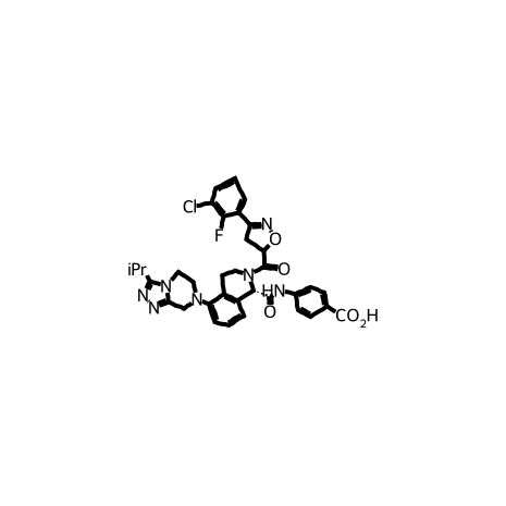 CC(C)c1nnc2n1CCN(c1cccc3c1CCN(C(=O)C1CC(c4cccc(Cl)c4F)=NO1)[C@@H]3C(=O)Nc1ccc(C(=O)O)cc1)C2